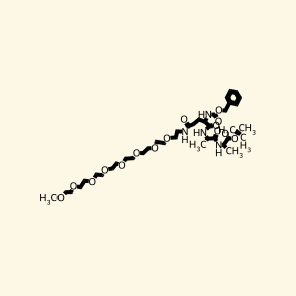 COCCOCCOCCOCCOCCOCCOCCOCCNC(=O)CCC(NC(=O)OCc1ccccc1)C(=O)NC(C)C(=O)NC(C)C(=O)OC(C)(C)C